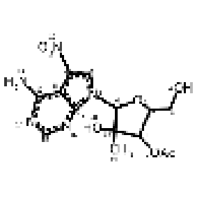 CC(=O)OC1C(CO)OC(n2cc([N+](=O)[O-])c3c(N)ncnc32)C1(C)O